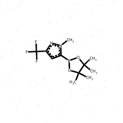 Cn1nc(C(F)(F)F)cc1B1OC(C)(C)C(C)(C)O1